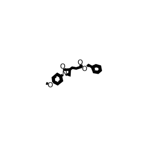 COc1ccc(N2CC(CCC(=O)OCc3ccccc3)C2=O)cc1